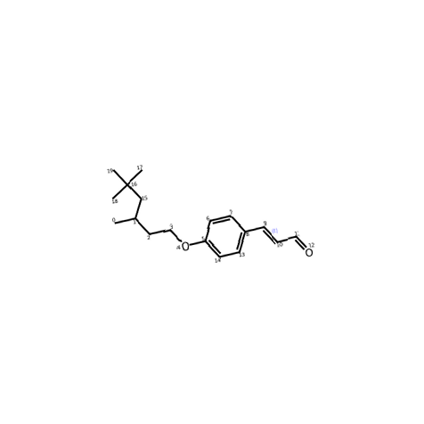 CC(CCOc1ccc(/C=C/[C]=O)cc1)CC(C)(C)C